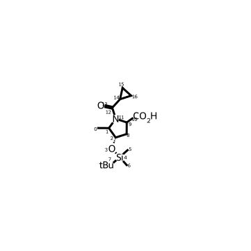 CC1[C@@H](O[Si](C)(C)C(C)(C)C)CC(C(=O)O)N1C(=O)C1CC1